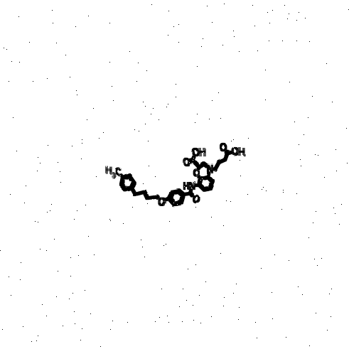 Cc1ccc(CCCCOc2ccc(C(=O)Nc3cccc4c3OC(C(=O)O)CN4CCCC(=O)O)cc2)cc1